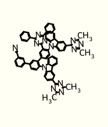 Cc1nc(C)nc(-c2ccc3c(c2)c2ccccc2n3-c2ccc(-c3cccc(C#N)c3)cc2-c2ccc(-n3c4ccccc4c4cc(-c5nc(C)nc(C)n5)ccc43)c(-c3nc(-c4ccccc4)nc(-c4ccccc4)n3)c2)n1